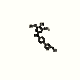 CC(C)Cn1cc(-c2ccc(Nc3cc(N)c(C#N)c(OC(C)C)n3)cc2)cn1